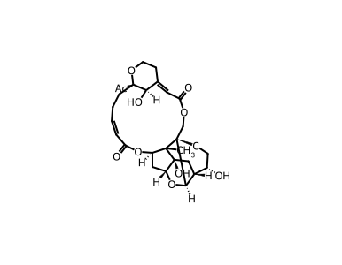 CC(=O)[C@@]12CC/C=C\C(=O)O[C@@H]3C[C@H]4O[C@@H]5[C@@H]6C[C@@]4(O)C3(C)[C@]5(CC[C@@H]6O)COC(=O)/C=C(\CCO1)[C@H]2O